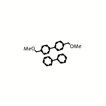 COCc1ccc(-c2ccc(COC)cc2)cc1.c1ccc(-c2ccccc2)cc1